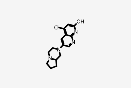 Oc1cc(Cl)c2cc(N3CCN4CCCC4C3)cnc2n1